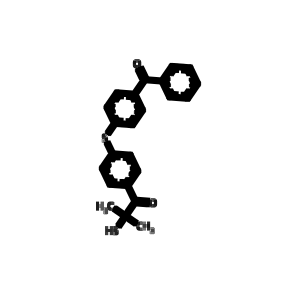 CC(C)(S)C(=O)c1ccc(Sc2ccc(C(=O)c3ccccc3)cc2)cc1